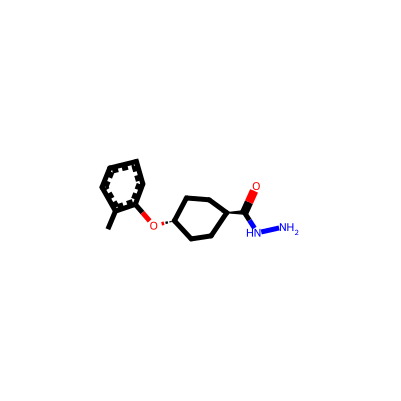 Cc1ccccc1O[C@H]1CC[C@H](C(=O)NN)CC1